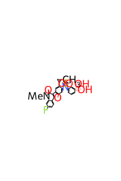 CNC(=O)c1c(-c2ccc(F)cc2)oc2cc(N(c3cccc(B(O)O)c3)S(C)(=O)=O)c(C3CC3)cc12